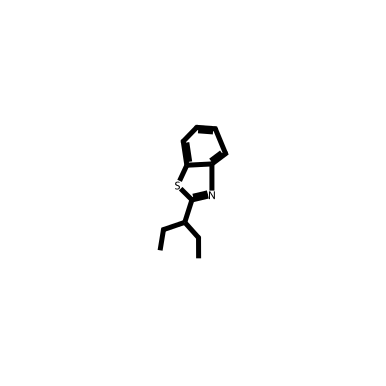 CCC(CC)c1nc2ccccc2s1